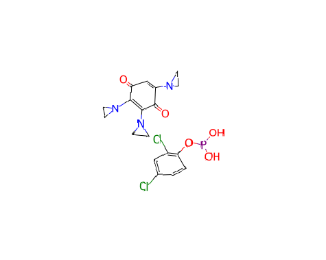 O=C1C=C(N2CC2)C(=O)C(N2CC2)=C1N1CC1.OP(O)Oc1ccc(Cl)cc1Cl